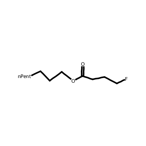 CCCCCCCCOC(=O)CCCF